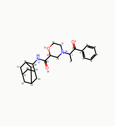 CC(C(=O)c1ccccc1)N1CCOC(C(=O)NC2C3CC4CC(C3)CC2C4)C1